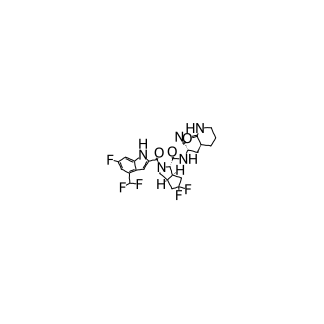 N#C[C@H](C[C@@H]1CCCNC1=O)NC(=O)[C@@H]1[C@H]2CC(F)(F)C[C@H]2CN1C(=O)c1cc2c(C(F)F)cc(F)cc2[nH]1